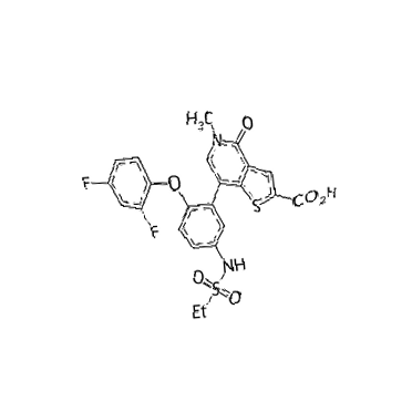 CCS(=O)(=O)Nc1ccc(Oc2ccc(F)cc2F)c(-c2cn(C)c(=O)c3cc(C(=O)O)sc23)c1